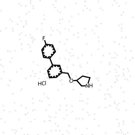 Cl.Fc1ccc(-c2cccc(COC3CCNC3)c2)cc1